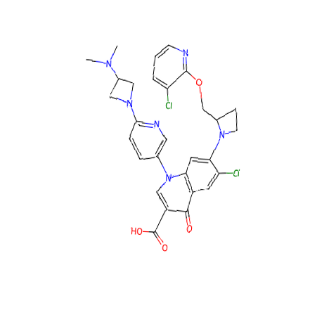 CN(C)C1CN(c2ccc(-n3cc(C(=O)O)c(=O)c4cc(Cl)c(N5CCC5COc5ncccc5Cl)cc43)cn2)C1